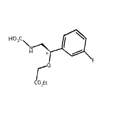 CCOC(=O)CO[C@@H](CNC(=O)O)c1cccc(F)c1